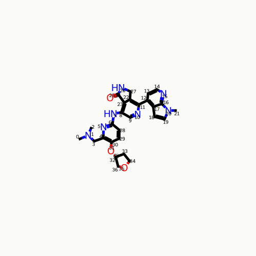 CN(C)Cc1nc(Nc2cnc(-c3ccnc4c3ccn4C)c3c2C(=O)NC3)ccc1O[C@@H]1CCOC1